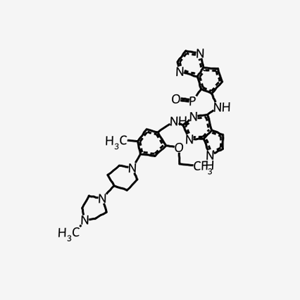 Cc1cc(Nc2nc(Nc3ccc4nccnc4c3P=O)c3cc[nH]c3n2)c(OCC(F)(F)F)cc1N1CCC(N2CCN(C)CC2)CC1